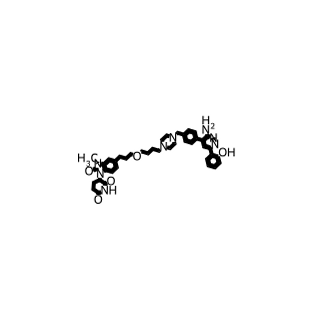 Cn1c(=O)n(C2CCC(=O)NC2=O)c2ccc(CCCOCCCCN3CCN(Cc4ccc(-c5cc(-c6ccccc6O)nnc5N)cc4)CC3)cc21